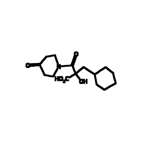 O=C1CCN(C(=O)C(O)(CC2CCCCC2)C(=O)O)CC1